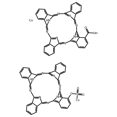 O=C(O)c1cccc2c3nc4nc(nc5[nH]c(nc6nc(nc([nH]3)c12)-c1ccccc1-6)c1ccccc51)-c1ccccc1-4.O=[S](=O)([Co])Oc1cccc2c3nc4nc(nc5[nH]c(nc6nc(nc([nH]3)c12)-c1ccccc1-6)c1ccccc51)-c1ccccc1-4.[Co]